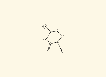 CC1CCC(I)C(=O)O1